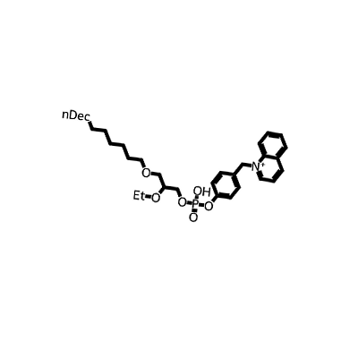 CCCCCCCCCCCCCCCCOCC(COP(=O)(O)Oc1ccc(C[n+]2cccc3ccccc32)cc1)OCC